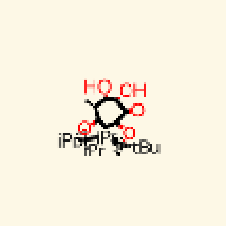 CC(C)[Si](OC1CC(O[Si](C)(C)C(C)(C)C)C(=O)[C@H](O)[C@H](O)[C@@H]1C)(C(C)C)C(C)C